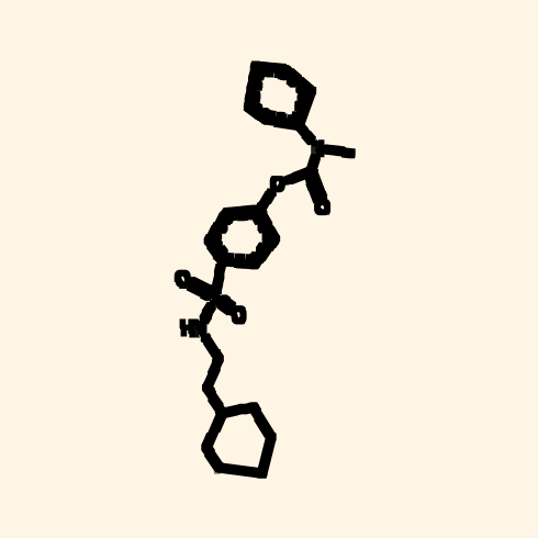 CN(C(=O)Oc1ccc(S(=O)(=O)NCCC2CCCCC2)cc1)c1ccccc1